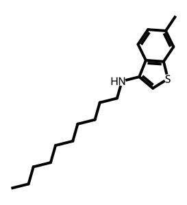 CCCCCCCCCCNc1csc2cc(C)ccc12